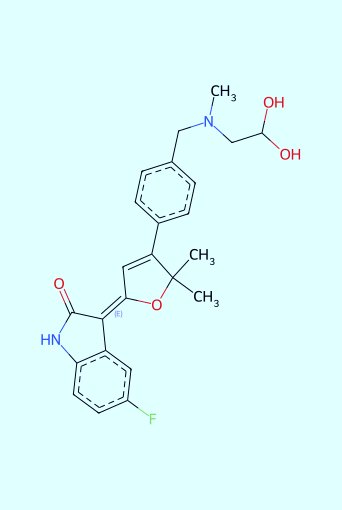 CN(Cc1ccc(C2=C/C(=C3\C(=O)Nc4ccc(F)cc43)OC2(C)C)cc1)CC(O)O